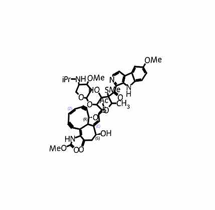 COC(=O)NC1=C2C#C/C=C\C#C[C@H](OC3OC(C)C(SC)(C(=O)c4nccc5c4[nH]c4ccc(OC)cc45)C(O)C3OC3CC(OC)C(NC(C)C)CO3)C2/C(=C\CSC(C)=O)[C@@H](O)CC1=O